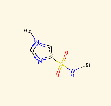 CCNS(=O)(=O)c1cn(C)cn1